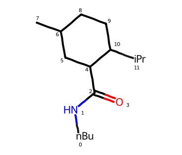 CCCCNC(=O)C1CC(C)CCC1C(C)C